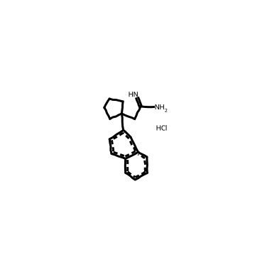 Cl.N=C(N)CC1(c2ccc3ccccc3c2)CCCC1